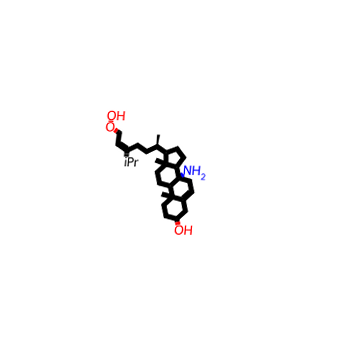 CC(C)/C(=C/COO)CC[C@@H](C)C1CCC2C1(C)CCC1C3(C)CCC(O)CC3=CCC12N